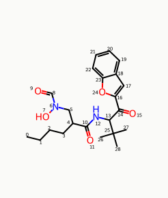 CCCCC(CN(O)C=O)C(=O)NC(C(=O)c1cc2ccccc2o1)C(C)(C)C